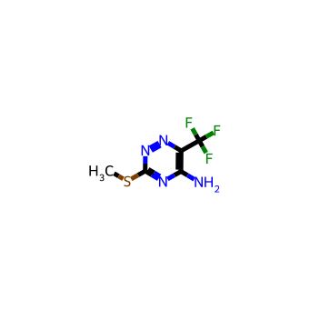 CSc1nnc(C(F)(F)F)c(N)n1